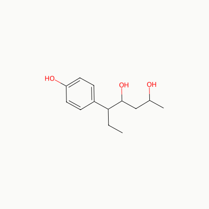 CCC(c1ccc(O)cc1)C(O)CC(C)O